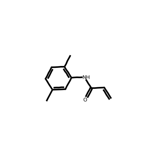 C=CC(=O)Nc1cc(C)ccc1C